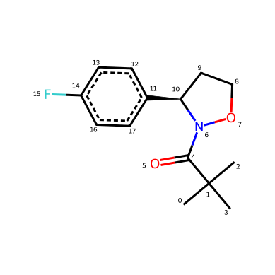 CC(C)(C)C(=O)N1OCC[C@@H]1c1ccc(F)cc1